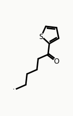 [CH2]CCCCC(=O)c1cccs1